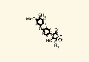 CC[C@@]1(C)NC(=O)N(c2ccc(Oc3ccc(C)c(OC)c3)nc2)C1O